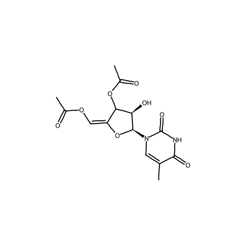 CC(=O)O/C=C1/O[C@H](n2cc(C)c(=O)[nH]c2=O)[C@H](O)C1OC(C)=O